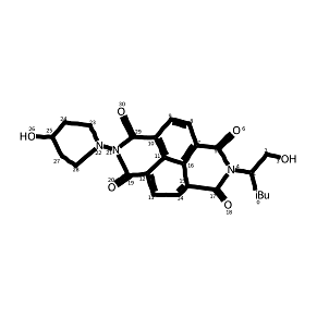 CCC(C)C(CO)N1C(=O)c2ccc3c4c(ccc(c24)C1=O)C(=O)N(N1CCC(O)CC1)C3=O